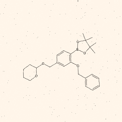 CC1(C)OB(c2ccc(COC3CCCCO3)cc2OCc2ccccc2)OC1(C)C